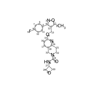 Cc1onc(-c2ccc(F)cc2)c1COc1ccc2c(n1)CCN(C(=O)NC1COC1)C2